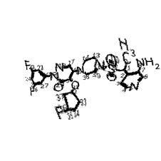 CC(c1ccncc1N)S(=O)(=O)N1CCN(c2cnn(-c3cc(F)cc(F)c3)c(=O)c2OC2CCC(F)C2)CC1